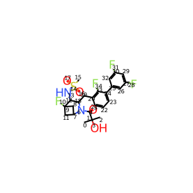 CC(C)(O)C(=O)N1C2CC(F)(C2)C(NS(C)(=O)=O)C1Cc1cccc(-c2cc(F)cc(F)c2)c1F